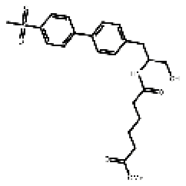 COC(=O)CCCCC(=O)N[C@H](CO)Cc1ccc(-c2ccc(S(C)(=O)=O)cc2)cc1